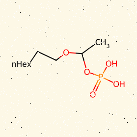 CCCCCCCCOC(C)OP(=O)(O)O